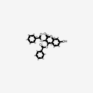 O=C(Oc1c(OC(=O)c2ccccc2)c2ccc(O)cc2oc1=O)c1ccccc1